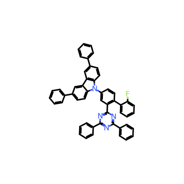 Fc1ccccc1-c1ccc(-n2c3ccc(-c4ccccc4)cc3c3cc(-c4ccccc4)ccc32)cc1-c1nc(-c2ccccc2)nc(-c2ccccc2)n1